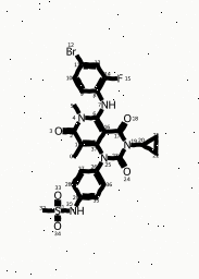 Cc1c(=O)n(C)c(Nc2ccc(Br)cc2F)c2c(=O)n(C3CC3)c(=O)n(-c3ccc(NS(C)(=O)=O)cc3)c12